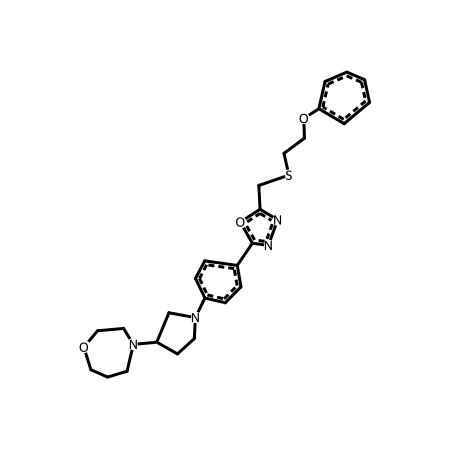 c1ccc(OCCSCc2nnc(-c3ccc(N4CCC(N5CCCOCC5)C4)cc3)o2)cc1